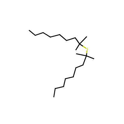 CCCCCCCC(C)(C)SC(C)(C)CCCCCCC